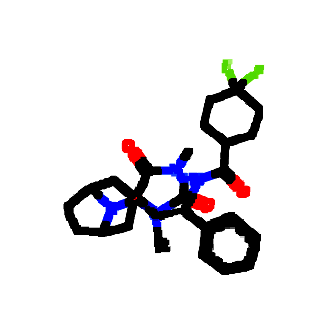 CCN1C(=O)N(C)C(=O)C12CC1CCC(C2)N1CC[C@H](NC(=O)C1CCC(F)(F)CC1)c1ccccc1